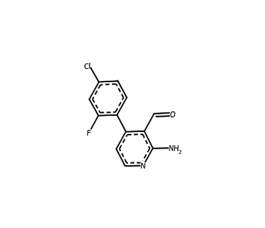 Nc1nccc(-c2ccc(Cl)cc2F)c1C=O